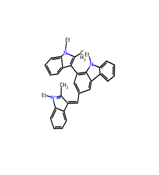 CCn1c(C)c(-c2cc(C=C3C(C)=[N+](CC)c4ccccc43)cc3c4ccccc4n(CC)c23)c2ccccc21